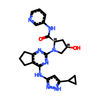 O=C(Nc1cccnc1)[C@@H]1C[C@@H](O)CN1c1nc2c(c(Nc3cc(C4CC4)[nH]n3)n1)CCC2